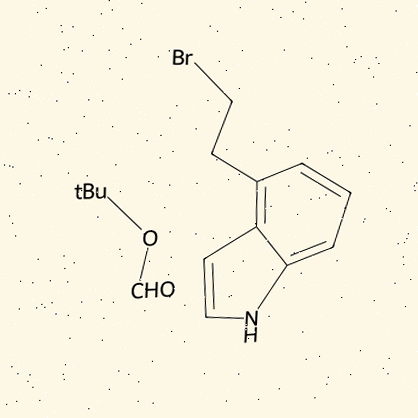 BrCCc1cccc2[nH]ccc12.CC(C)(C)OC=O